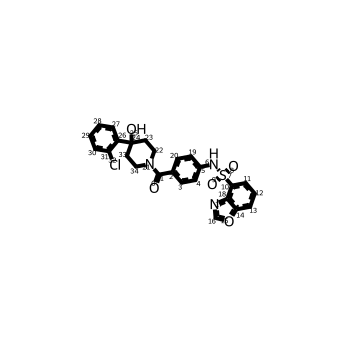 O=C(c1ccc(NS(=O)(=O)c2cccc3ocnc23)cc1)N1CCC(O)(c2ccccc2Cl)CC1